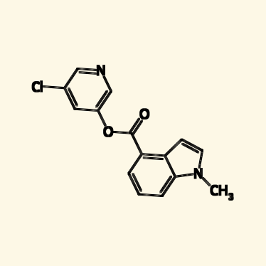 Cn1ccc2c(C(=O)Oc3cncc(Cl)c3)cccc21